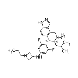 CCCN1CC(Nc2cc(F)c([C@@H]3c4ccc5[nH]ncc5c4CN(C)[C@H]3CC(C)C)c(F)c2)C1